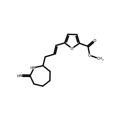 COC(=O)c1ccc(C=CCC2CCCCC(=N)N2)o1